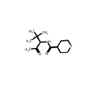 CC(=O)C(NC(=O)C1CCOCC1)C(C)(C)C